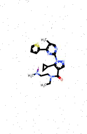 CCN(CCN(C)I)C(=O)c1cnn(-c2ncc(C)c(-c3cccs3)n2)c1C1CC1